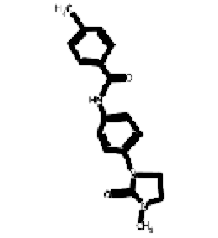 Cc1ccc(C(=O)Nc2ccc(N3CCN(C)C3=O)cc2)cc1